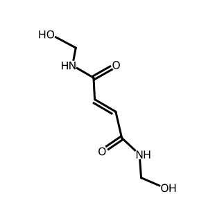 O=C(C=CC(=O)NCO)NCO